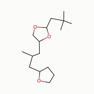 CC(CC1CCCO1)CC1COC(CC(C)(C)C)O1